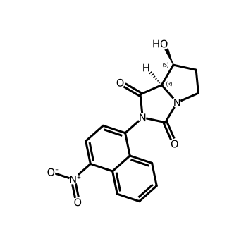 O=C1[C@H]2[C@@H](O)CCN2C(=O)N1c1ccc([N+](=O)[O-])c2ccccc12